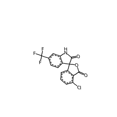 O=C1OC2(C(=O)Nc3cc(C(F)(F)F)ccc32)c2cccc(Cl)c21